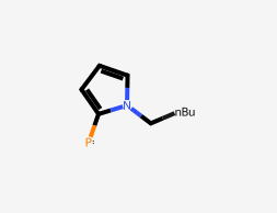 CCCCCn1cccc1[P]